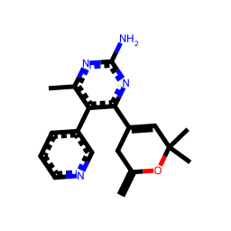 C=C1CC(c2nc(N)nc(C)c2-c2cccnc2)=CC(C)(C)O1